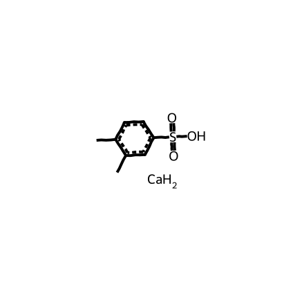 Cc1ccc(S(=O)(=O)O)cc1C.[CaH2]